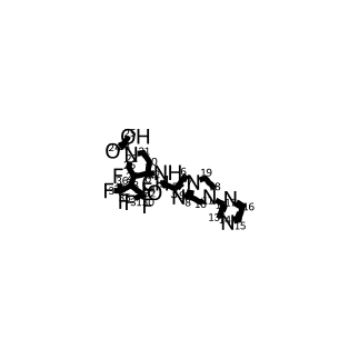 CC1(NC(=O)c2cn3c(n2)CN(c2cnccn2)CC3)CCN(C(=O)O)CC1C(C(F)(F)F)C(F)(F)F